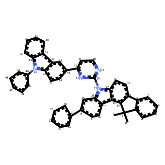 CC1(C)c2ccccc2-c2ccc3c(c21)c1ccc(-c2ccccc2)cc1n3-c1nccc(-c2ccc3c(c2)c2ccccc2n3-c2ccccc2)n1